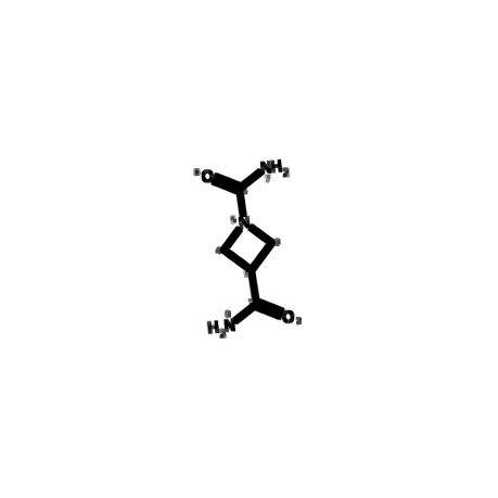 NC(=O)C1CN(C(N)=O)C1